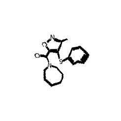 Cc1noc(C(=O)N2CCCCCC2)c1Sc1ccccc1